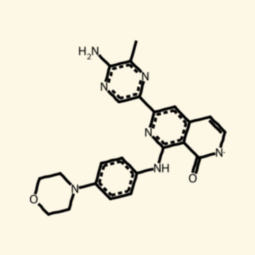 Cc1nc(-c2cc3c(c(Nc4ccc(N5CCOCC5)cc4)n2)C(=O)[N]C=C3)cnc1N